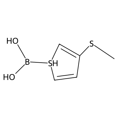 CSC1=C[SH](B(O)O)C=C1